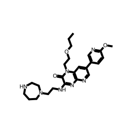 CCCOCCn1c(=O)c(NCCN2CCCNCC2)nc2ncc(-c3ccc(OC)nc3)cc21